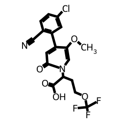 COc1cn(C(CCOC(F)(F)F)C(=O)O)c(=O)cc1-c1cc(Cl)ccc1C#N